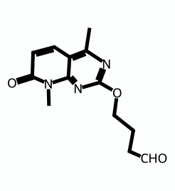 Cc1nc(OCCCC=O)nc2c1ccc(=O)n2C